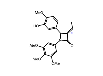 C/C=C1/C(=O)N(c2cc(OC)c(OC)c(OC)c2)C1c1ccc(OC)c(O)c1